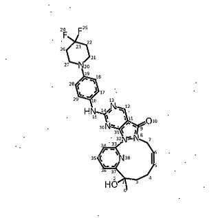 CC1(O)CC/C=C\Cn2c(=O)c3cnc(Nc4ccc(N5CCC(F)(F)CC5)cc4)nc3n2-c2cccc1n2